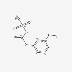 COc1cccc(C[C@@H](C)CS(=O)(=O)O)c1